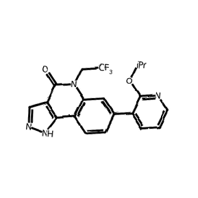 CC(C)Oc1ncccc1-c1ccc2c3[nH]ncc3c(=O)n(CC(F)(F)F)c2c1